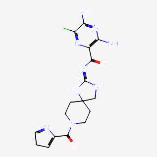 Nc1nc(N)c(C(=O)/N=C2\NCC3(CCN(C(=O)C4=CCC=N4)CC3)N2)nc1Cl